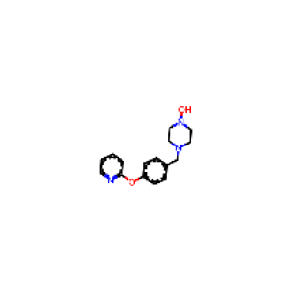 ON1CCN(Cc2ccc(Oc3ccccn3)cc2)CC1